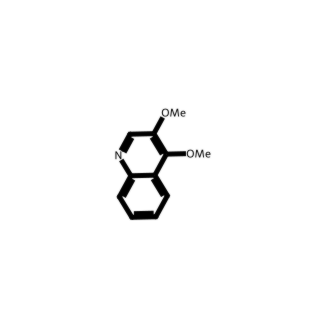 COc1cnc2ccccc2c1OC